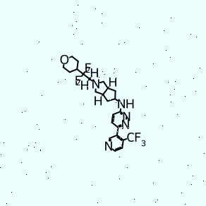 [2H]C([2H])(N1C[C@H]2CC(Nc3ccc(-c4cnccc4C(F)(F)F)nn3)C[C@H]2C1)C(F)(F)C1CCOCC1